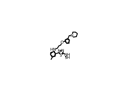 Cc1ccc(NCCCOc2cccc(CN3CCCCC3)c2)c(-c2nnc(NS)s2)c1